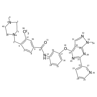 CN1CCN(Cc2ccc(C(=O)Nc3cccc(Oc4nc(-c5cccnc5)nc5c4cnn5C)c3)cc2C(F)(F)F)CC1